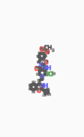 CS(=O)(=O)c1ccc(CN2C(=O)NC3(CCN(CC[C@H](NC(=O)C4CCC4)c4ccccc4)CC3)C2=O)cc1.Cl